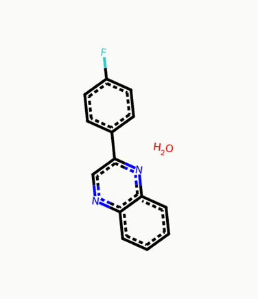 Fc1ccc(-c2cnc3ccccc3n2)cc1.O